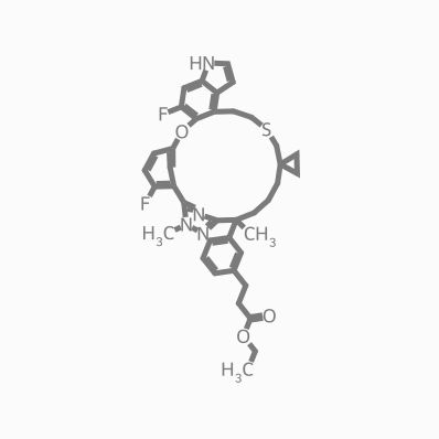 CCOC(=O)CCc1cccc(C2(C)CCCC3(CC3)CSCCc3c(c(F)cc4[nH]ccc34)Oc3ccc(F)c(c3)-c3nc2nn3C)c1